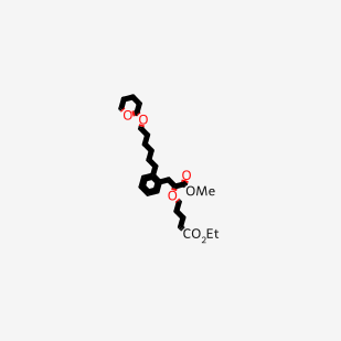 CCOC(=O)CCCCOC(Cc1ccccc1CCCCCCOC1CCCCO1)C(=O)OC